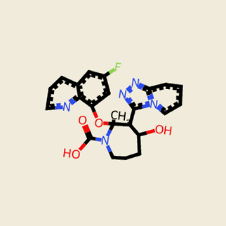 CC1(Oc2cc(F)cc3cccnc23)C(c2nnc3ccccn23)C(O)CCCN1C(=O)O